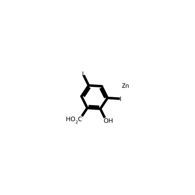 O=C(O)c1cc(I)cc(I)c1O.[Zn]